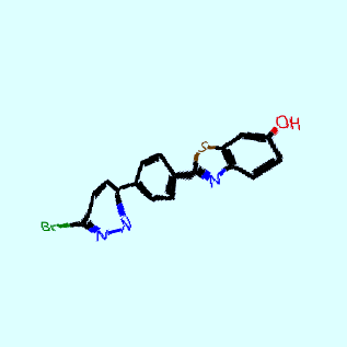 Oc1ccc2nc(-c3ccc(-c4ccc(Br)nn4)cc3)sc2c1